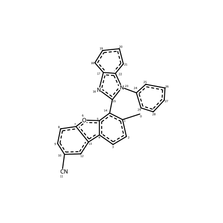 Cc1ccc2c(oc3ccc(C#N)cc32)c1-c1nc2ccccc2n1-c1ccccc1